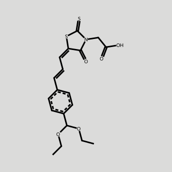 CCOC(OCC)c1ccc(C=CC=C2SC(=S)N(CC(=O)O)C2=O)cc1